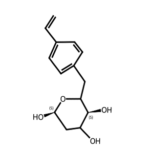 C=Cc1ccc(CC2O[C@H](O)CC(O)[C@@H]2O)cc1